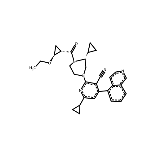 CCO[C@H]1C[C@@H]1C(=O)N1CCN(c2nc(C3CC3)cc(-c3cccc4cnccc34)c2C#N)C[C@H]1C1CC1